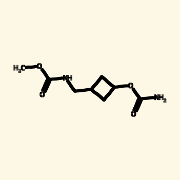 COC(=O)NCC1CC(OC(N)=O)C1